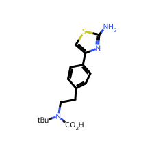 CC(C)(C)N(CCc1ccc(-c2csc(N)n2)cc1)C(=O)O